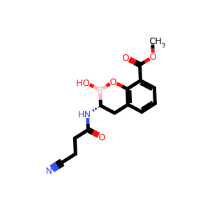 COC(=O)c1cccc2c1OB(O)[C@@H](NC(=O)CCC#N)C2